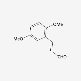 COc1ccc(OC)c(C=C[C]=O)c1